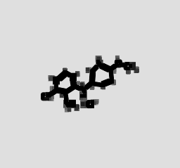 COc1ccc(Nc2ncnc(Cl)c2N)cn1.Cl